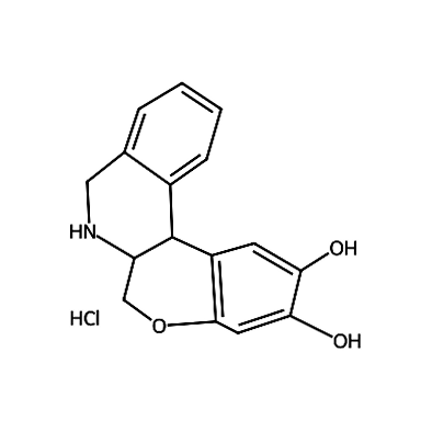 Cl.Oc1cc2c(cc1O)C1c3ccccc3CNC1CO2